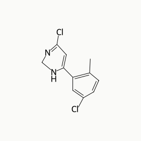 Cc1ccc(Cl)cc1C1=CC(Cl)=NCN1